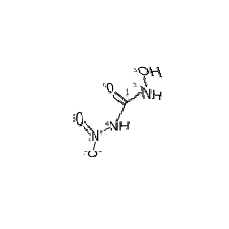 O=C(NO)N[N+](=O)[O-]